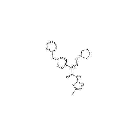 O=C(Nc1ncc(F)s1)/C(=N/O[C@@H]1CCOC1)c1ccc(Sc2ccccn2)cc1